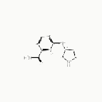 NC(=O)c1[c]ccc(NC2CCNC2)n1